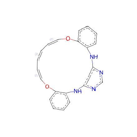 C1=C\C=C/Oc2ccccc2Nc2cc(ncn2)Nc2ccccc2O\C=C/1